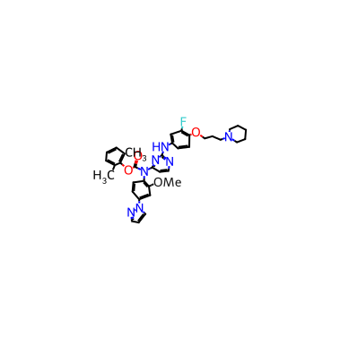 COc1cc(-n2cccn2)ccc1N(C(=O)Oc1c(C)cccc1C)c1ccnc(Nc2ccc(OCCCN3CCCCC3)c(F)c2)n1